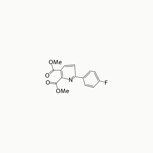 COC(=O)c1ccc(-c2ccc(F)cc2)nc1C(=O)OC